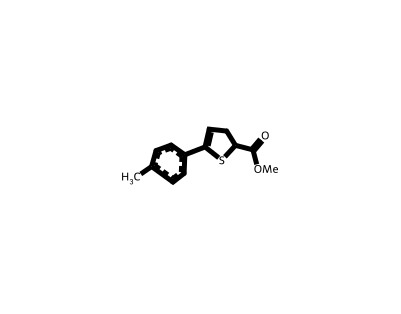 COC(=O)C1CC=C(c2ccc(C)cc2)S1